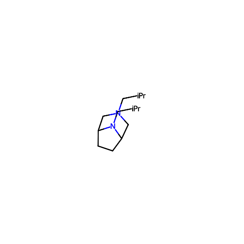 CC(C)CN1CC2CCC(C1)N2CC(C)C